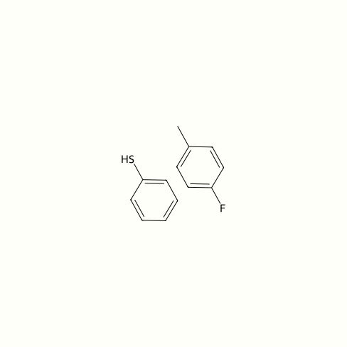 Cc1ccc(F)cc1.Sc1ccccc1